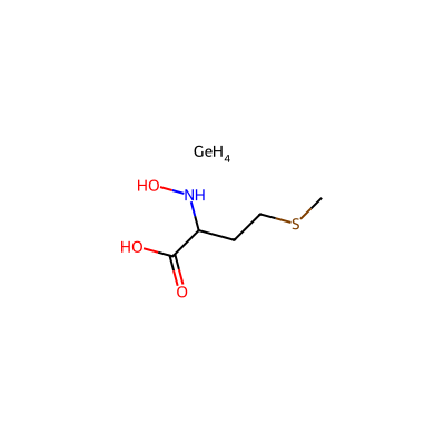 CSCCC(NO)C(=O)O.[GeH4]